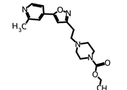 CCOC(=O)N1CCN(CCc2cc(-c3ccnc(C)c3)on2)CC1